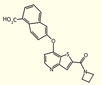 O=C(O)c1cccc2cc(Oc3ccnc4cc(C(=O)N5CCC5)sc34)ccc12